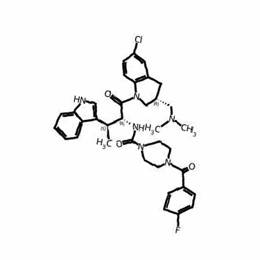 C[C@@H](c1c[nH]c2ccccc12)[C@@H](NC(=O)N1CCN(C(=O)c2ccc(F)cc2)CC1)C(=O)N1C[C@@H](CN(C)C)Cc2cc(Cl)ccc21